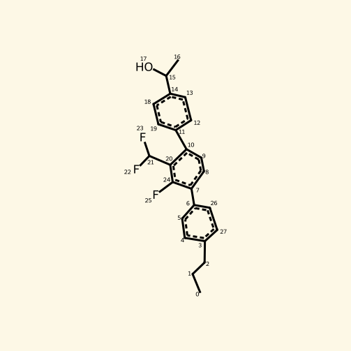 CCCc1ccc(-c2ccc(-c3ccc(C(C)O)cc3)c(C(F)F)c2F)cc1